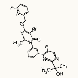 Cc1nc(OCc2cccc(F)n2)c(Br)c(=O)n1-c1cccc(-c2nc(C(C)(C)O)ncc2F)c1